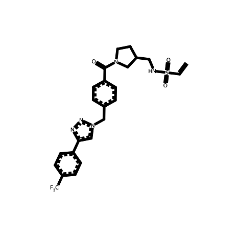 C=CS(=O)(=O)NCC1CCN(C(=O)c2ccc(Cn3cc(-c4ccc(C(F)(F)F)cc4)nn3)cc2)C1